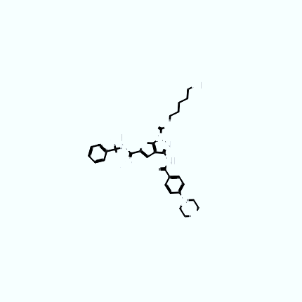 CCCCCCOC(=O)n1nc(NC(=O)c2ccc(N3CCOCC3)cc2)c2cc(C(=O)NC(C)(C)c3ccccc3)sc21